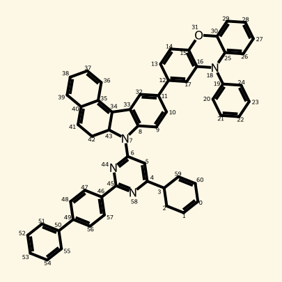 C1=CCC(c2cc(N3c4ccc(-c5ccc6c(c5)N(c5ccccc5)c5ccccc5O6)cc4C4=c5ccccc5=CCC43)nc(-c3ccc(-c4ccccc4)cc3)n2)C=C1